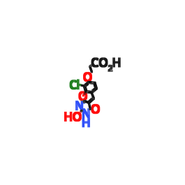 O=C(O)CCOc1ccc2c(c1Cl)OC1=NC(O)NC(=O)C1=C2